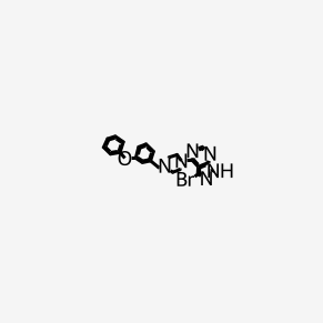 Brc1n[nH]c2ncnc(N3CCN(Cc4cccc(Oc5ccccc5)c4)CC3)c12